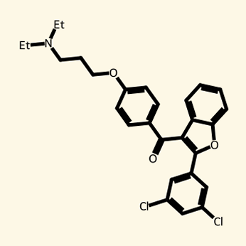 CCN(CC)CCCOc1ccc(C(=O)c2c(-c3cc(Cl)cc(Cl)c3)oc3ccccc23)cc1